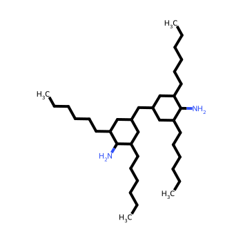 CCCCCCC1CC(CC2CC(CCCCCC)C(N)C(CCCCCC)C2)CC(CCCCCC)C1N